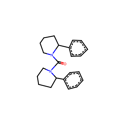 O=C(N1CCCCC1c1ccccc1)N1CCCCC1c1ccccc1